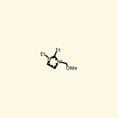 CCc1n(CC)cc[n+]1COC